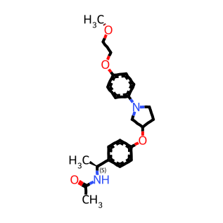 COCCOc1ccc(N2CCC(Oc3ccc([C@H](C)NC(C)=O)cc3)C2)cc1